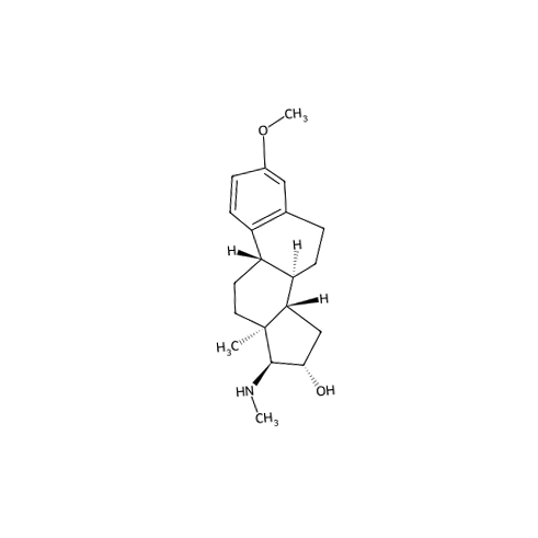 CN[C@@H]1[C@@H](O)C[C@H]2[C@@H]3CCc4cc(OC)ccc4[C@H]3CC[C@]12C